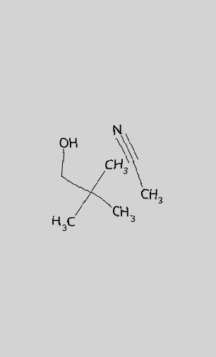 CC#N.CC(C)(C)CO